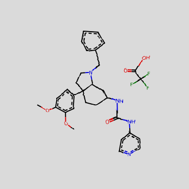 COc1ccc(C23CCC(NC(=O)Nc4ccncc4)CC2N(Cc2ccccc2)CC3)cc1OC.O=C(O)C(F)(F)F